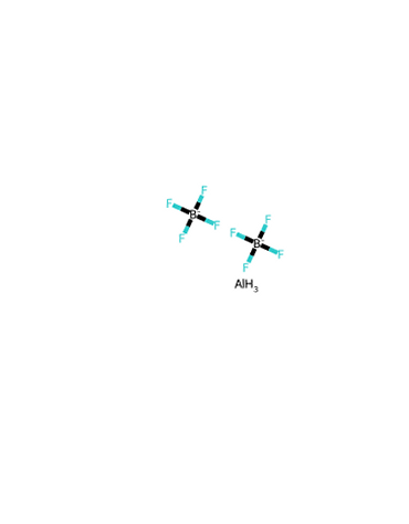 F[B-](F)(F)F.F[B-](F)(F)F.[AlH3]